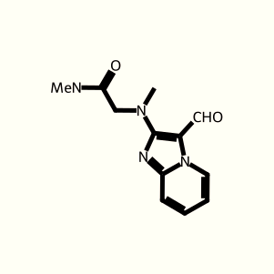 CNC(=O)CN(C)c1nc2ccccn2c1C=O